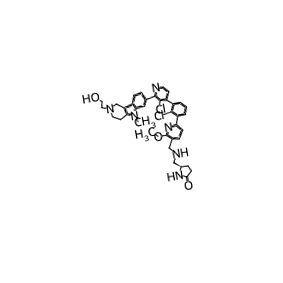 COc1nc(-c2cccc(-c3ccnc(-c4ccc5c6c(n(C)c5c4)CCN(CCO)C6)c3Cl)c2Cl)ccc1CNC[C@H]1CCC(=O)N1